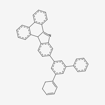 C1=CCCC(c2cc(-c3ccccc3)cc(-c3ccc4c(c3)N=C3c5ccccc5-c5ccccc5C34)c2)=C1